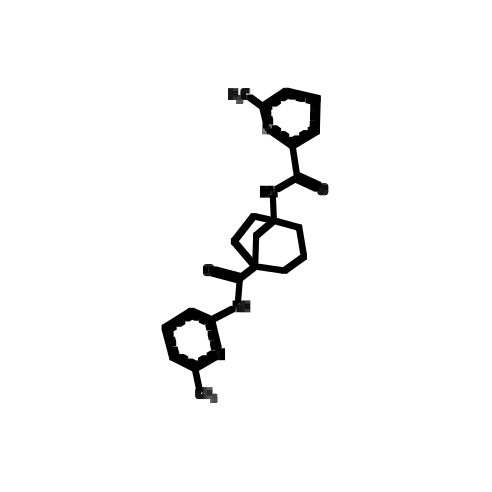 Cc1cccc(NC(=O)C23CCCC(NC(=O)c4cccc(C)n4)(CC2)C3)n1